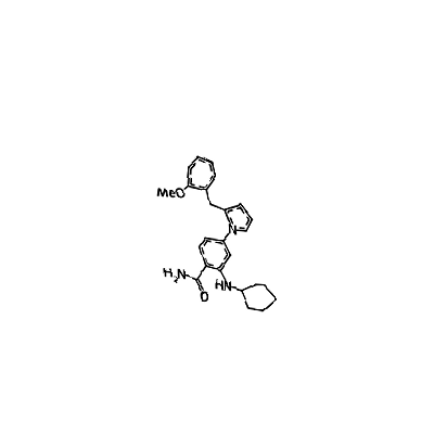 COc1ccccc1Cc1cccn1-c1ccc(C(N)=O)c(NC2CCCCC2)c1